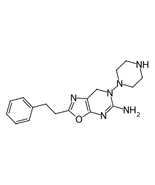 NC1=Nc2oc(CCc3ccccc3)nc2CN1N1CCNCC1